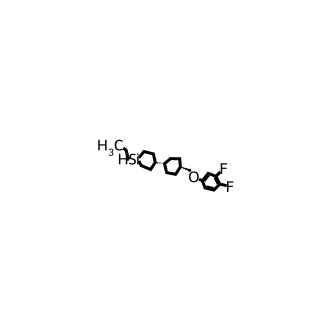 CCC[SiH]1CCC([C@H]2CC[C@H](COc3ccc(F)c(F)c3)CC2)CC1